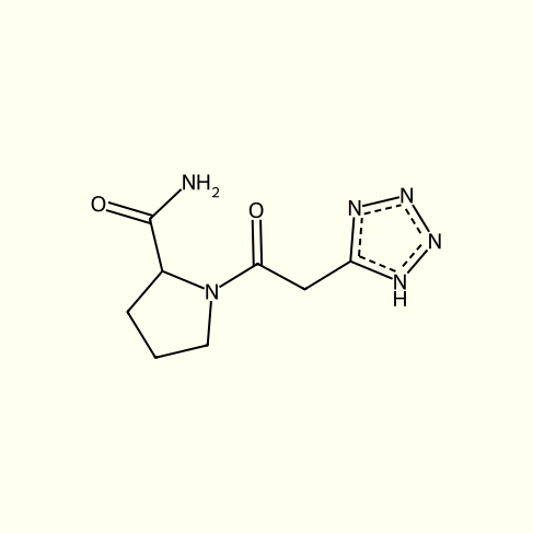 NC(=O)C1CCCN1C(=O)Cc1nnn[nH]1